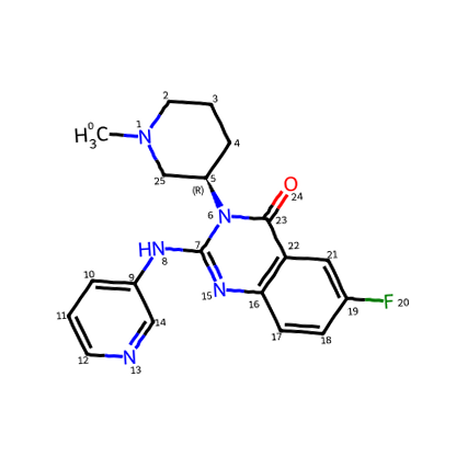 CN1CCC[C@@H](n2c(Nc3cccnc3)nc3ccc(F)cc3c2=O)C1